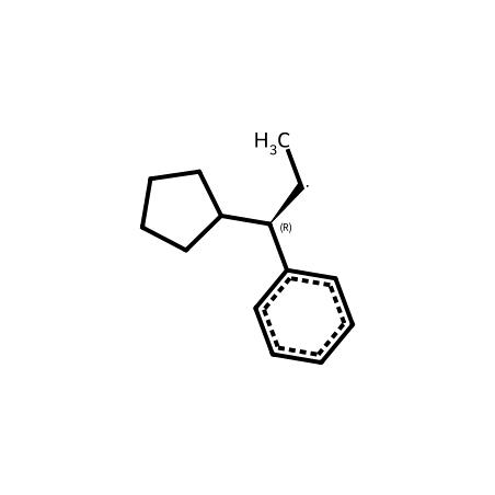 C[CH][C@@H](c1ccccc1)C1CCCC1